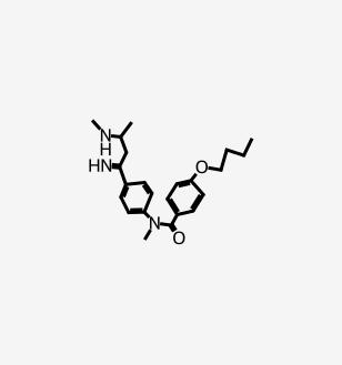 CCCCOc1ccc(C(=O)N(C)c2ccc(C(=N)CC(C)NC)cc2)cc1